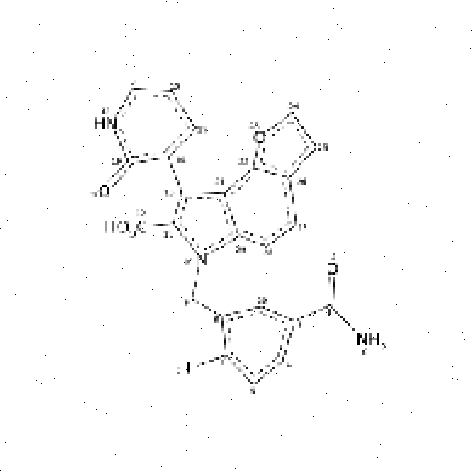 NC(=O)c1ccc(F)c(Cn2c(C(=O)O)c(-c3ccc[nH]c3=O)c3c4occc4ccc32)c1